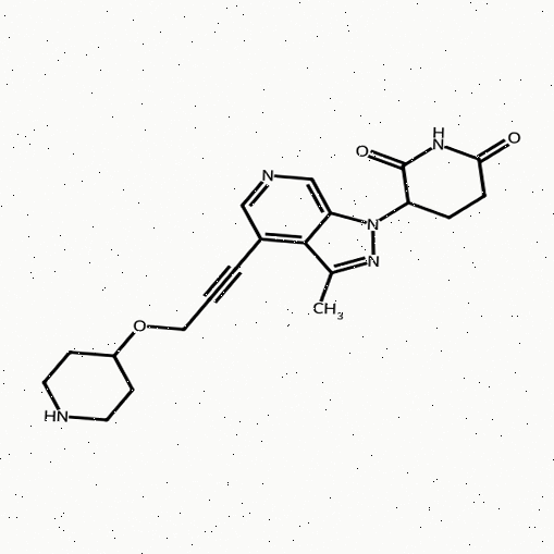 Cc1nn(C2CCC(=O)NC2=O)c2cncc(C#CCOC3CCNCC3)c12